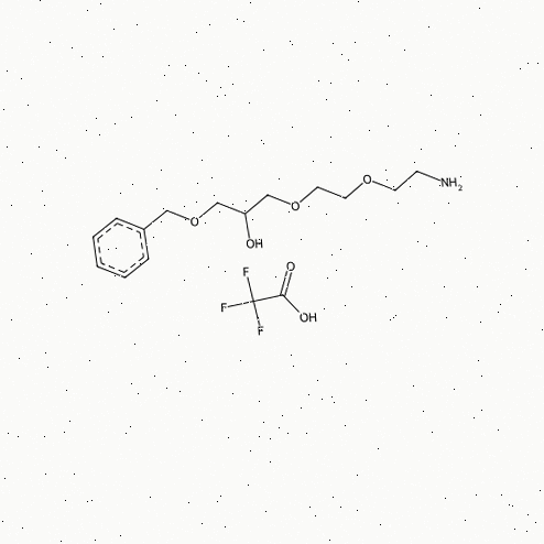 NCCOCCOCC(O)COCc1ccccc1.O=C(O)C(F)(F)F